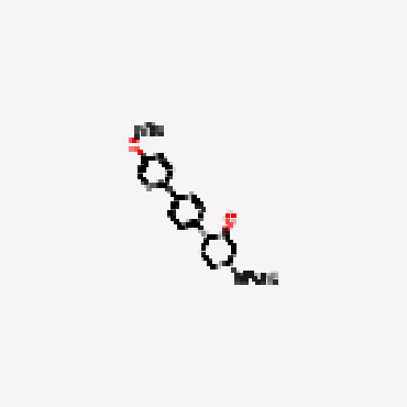 CCCCC[C@@H]1CC[C@@H](c2ccc(-c3ccc(OCCCC)cc3)cc2)C(=O)C1